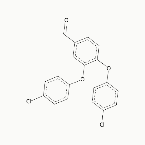 O=Cc1ccc(Oc2ccc(Cl)cc2)c(Oc2ccc(Cl)cc2)c1